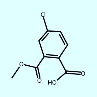 COC(=O)c1cc(Cl)ccc1C(=O)O